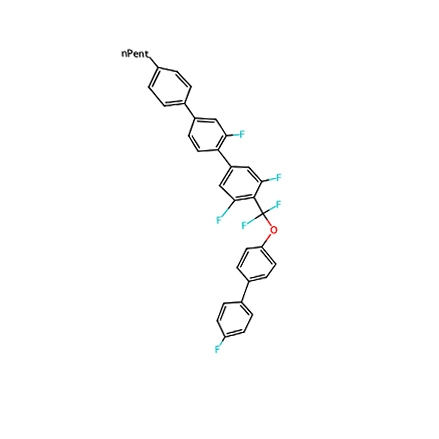 CCCCCc1ccc(-c2ccc(-c3cc(F)c(C(F)(F)Oc4ccc(-c5ccc(F)cc5)cc4)c(F)c3)c(F)c2)cc1